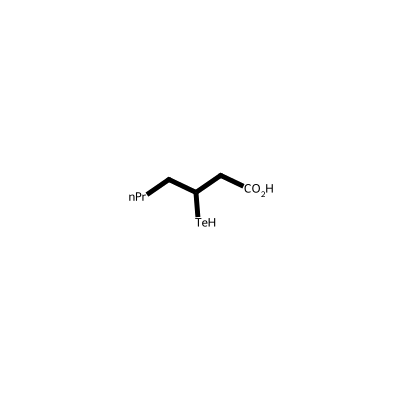 CCCCC([TeH])CC(=O)O